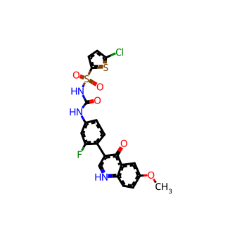 COc1ccc2[nH]cc(-c3ccc(NC(=O)NS(=O)(=O)c4ccc(Cl)s4)cc3F)c(=O)c2c1